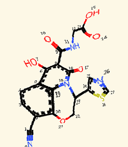 N#Cc1ccc2c(O)c(C(=O)NCC(=O)O)c(=O)n3c2c1OCC3c1cncs1